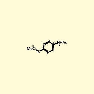 COSc1ccc(NC(C)=O)cc1